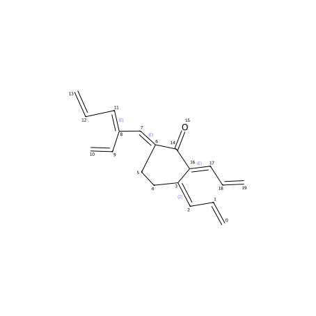 C=C/C=C1/CC/C(=C\C(C=C)=C\C=C)C(=O)/C1=C/C=C